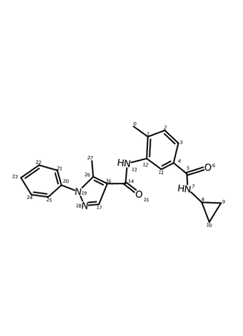 Cc1ccc(C(=O)NC2CC2)cc1NC(=O)c1cnn(-c2ccccc2)c1C